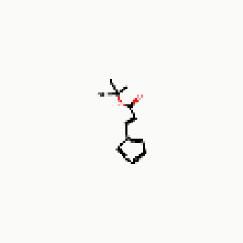 CC(C)(C#N)OC(=O)C=Cc1ccccc1